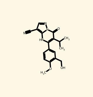 COc1ccc(-c2[nH]c3c(C#N)cnn3c(=O)c2C(C)C)cc1CO